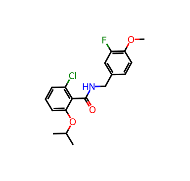 COc1ccc(CNC(=O)c2c(Cl)cccc2OC(C)C)cc1F